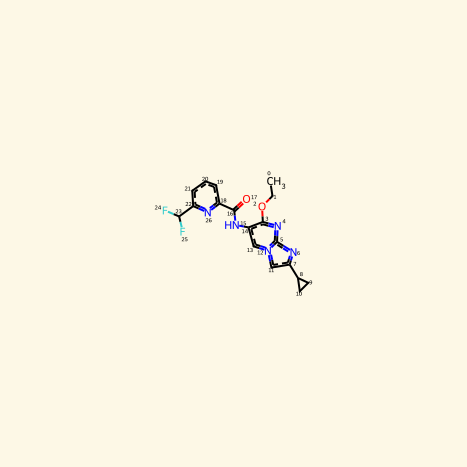 CCOc1nc2nc(C3CC3)cn2cc1NC(=O)c1cccc(C(F)F)n1